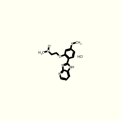 CSc1ccc(-c2nc3ncccc3[nH]2)c(OCC[S+](C)[O-])c1.Cl